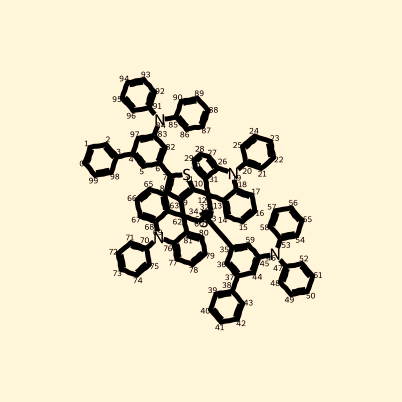 c1ccc(-c2cc(-c3cc4c(s3)C3(c5ccccc5N(c5ccccc5)c5ccccc53)c3cc(-c5cc(-c6ccccc6)cc(N(c6ccccc6)c6ccccc6)c5)sc3C43c4ccccc4N(c4ccccc4)c4ccccc43)cc(N(c3ccccc3)c3ccccc3)c2)cc1